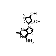 C[C@H]1O[C@@H](n2cnc3c(N)nc(I)nc32)[C@@H](O)C1O